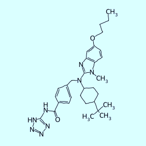 CCCCOc1ccc2c(c1)nc(N(Cc1ccc(C(=O)Nc3nnn[nH]3)cc1)C1CCC(C(C)(C)C)CC1)n2C